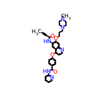 CC#CC(=O)Nc1cc2c(Oc3ccc(C(=O)Nc4ccccn4)cc3)ccnc2cc1OCCCN1CCN(C)CC1